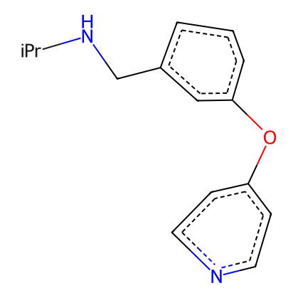 CC(C)NCc1cccc(Oc2ccncc2)c1